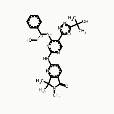 CN1C(=O)c2ccc(Nc3ncc(-c4nnc(C(C)(C)O)o4)c(N[C@H](CO)c4ccccc4)n3)nc2C1(C)C